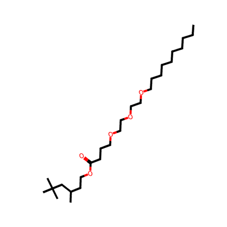 CCCCCCCCCCOCCOCCOCCCC(=O)OCCC(C)CC(C)(C)C